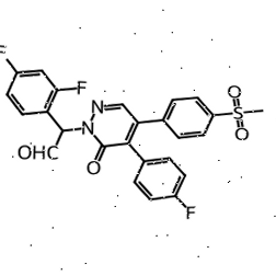 CS(=O)(=O)c1ccc(-c2cnn(C(C=O)c3ccc(F)cc3F)c(=O)c2-c2ccc(F)cc2)cc1